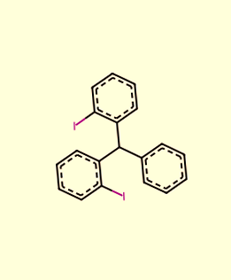 Ic1ccccc1C(c1ccccc1)c1ccccc1I